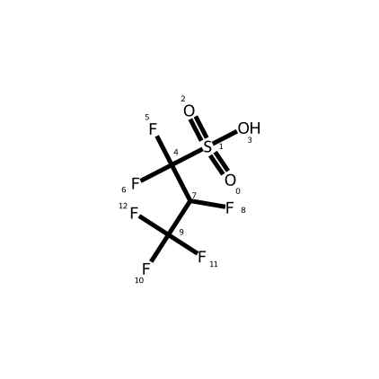 O=S(=O)(O)C(F)(F)C(F)C(F)(F)F